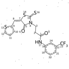 O=C(CCN1C(=O)/C(=C\c2cccs2)SC1=S)Nc1cccc(C(F)(F)F)c1